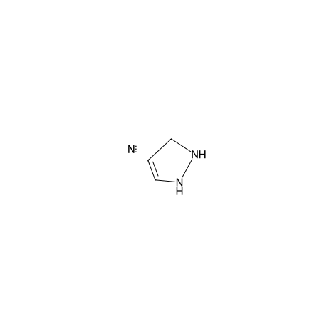 C1=CNNC1.[N]